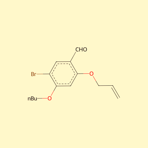 C=CCOc1cc(OCCCC)c(Br)cc1C=O